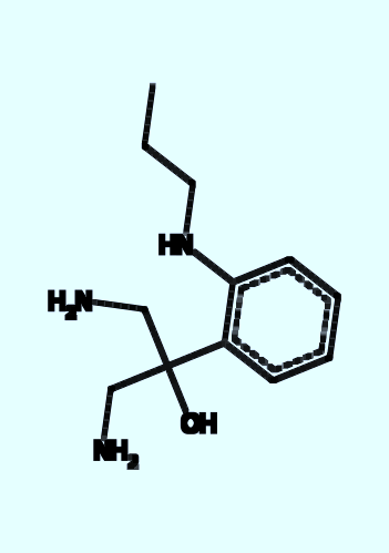 CCCNc1ccccc1C(O)(CN)CN